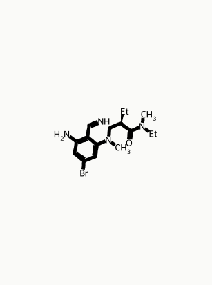 CC[C@H](CN(C)c1cc(Br)cc(N)c1C=N)C(=O)N(C)CC